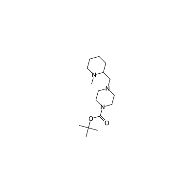 CN1CCCCC1CN1CCN(C(=O)OC(C)(C)C)CC1